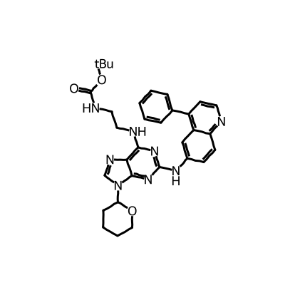 CC(C)(C)OC(=O)NCCNc1nc(Nc2ccc3nccc(-c4ccccc4)c3c2)nc2c1ncn2C1CCCCO1